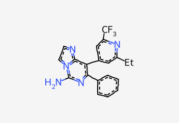 CCc1cc(-c2c(-c3ccccc3)nc(N)n3ccnc23)cc(C(F)(F)F)n1